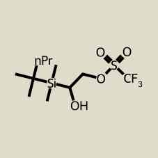 CCCC(C)(C)[Si](C)(C)C(O)COS(=O)(=O)C(F)(F)F